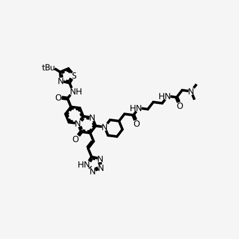 CN(C)CC(=O)NCCCNC(=O)CC1CCCN(c2nc3cc(C(=O)Nc4nc(C(C)(C)C)cs4)ccn3c(=O)c2C=Cc2nnn[nH]2)C1